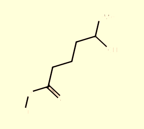 CCOC(=O)CCCC(C)OC